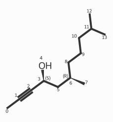 CC#C[C@@H](O)C[C@H](C)CCCC(C)C